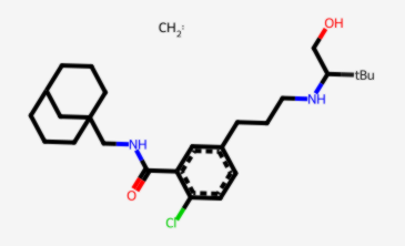 CC(C)(C)C(CO)NCCCc1ccc(Cl)c(C(=O)NCC23CCCC(CCC2)C3)c1.[CH2]